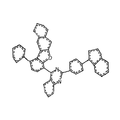 c1ccc(-c2ccc(-c3nc(-c4ccc(-c5cccc6ccccc56)cc4)nc4ccccc34)c3oc4cc5ccccc5cc4c23)cc1